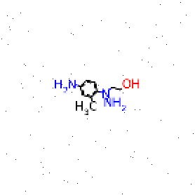 Cc1cc(N)ccc1N(N)CCO